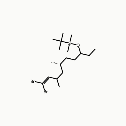 CCC(CC[C@@H](C)CC(C)C=C(Br)Br)O[Si](C)(C)C(C)(C)C